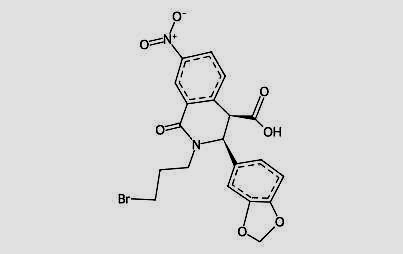 O=C(O)[C@@H]1c2ccc([N+](=O)[O-])cc2C(=O)N(CCCBr)[C@@H]1c1ccc2c(c1)OCO2